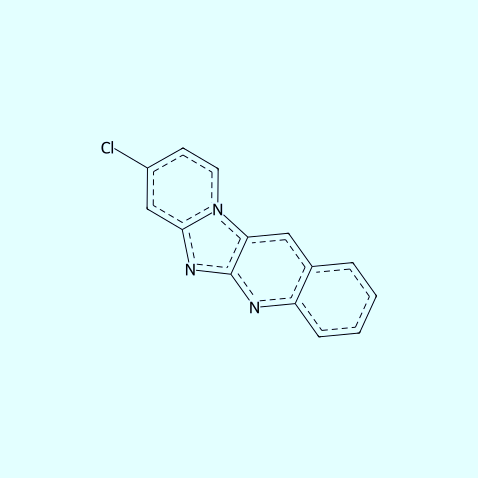 Clc1ccn2c(c1)nc1nc3ccccc3cc12